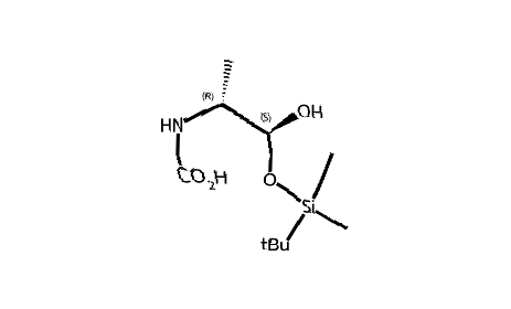 C[C@@H](NC(=O)O)[C@@H](O)O[Si](C)(C)C(C)(C)C